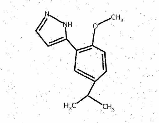 COc1ccc(C(C)C)cc1-c1ccn[nH]1